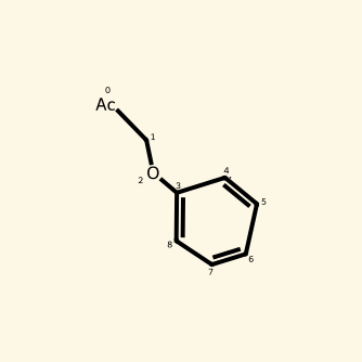 CC(=O)COc1[c]cccc1